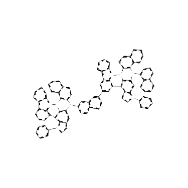 c1ccc(-n2ccc3c4c5c(cc32)N(c2cccc3ccccc23)c2c(ccc3ccccc23)B5n2c3ccccc3c3cc(-c5ccc6ccc(N7c8cc9ccn(-c%10ccccc%10)c9c9c8B(c8c7ccc7ccccc87)n7c8ccccc8c8cccc-9c87)cc6c5)cc-4c32)cc1